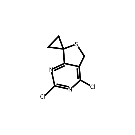 Clc1nc(Cl)c2c(n1)C1(CC1)SC2